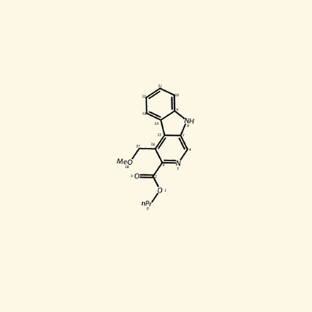 CCCOC(=O)c1ncc2[nH]c3ccccc3c2c1COC